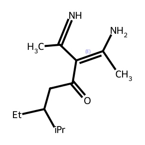 CCC(CC(=O)/C(C(C)=N)=C(\C)N)C(C)C